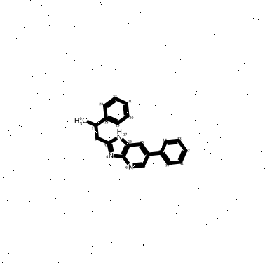 CC(Cc1nc2ncc(-c3ccccc3)cc2[nH]1)c1ccccc1